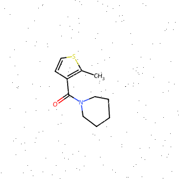 Cc1sccc1C(=O)N1CCCCC1